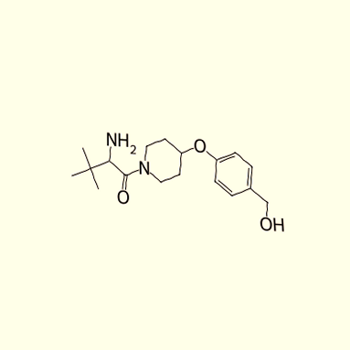 CC(C)(C)C(N)C(=O)N1CCC(Oc2ccc(CO)cc2)CC1